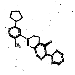 Cc1ccc(N2CCCC2)cc1C1=Cc2cnn(-c3ncccn3)c(=O)c2CC1